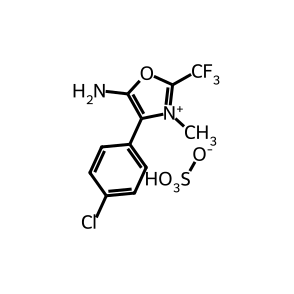 C[n+]1c(C(F)(F)F)oc(N)c1-c1ccc(Cl)cc1.O=S(=O)([O-])O